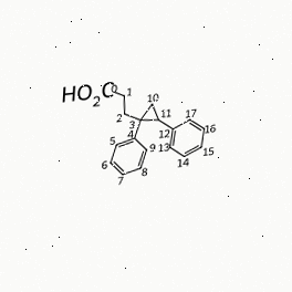 O=C(O)CCC1(c2ccccc2)CC1c1ccccc1